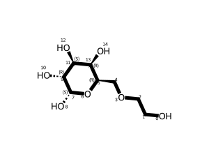 OCCOC[C@H]1O[C@H](O)[C@H](O)[C@@H](O)[C@H]1O